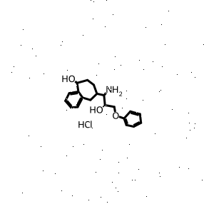 Cl.NC(C1CCC(O)c2ccccc2C1)[C@@H](O)COc1ccccc1